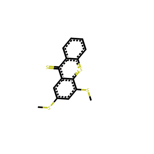 CSc1cc(SC)c2sc3ccccc3c(=S)c2c1